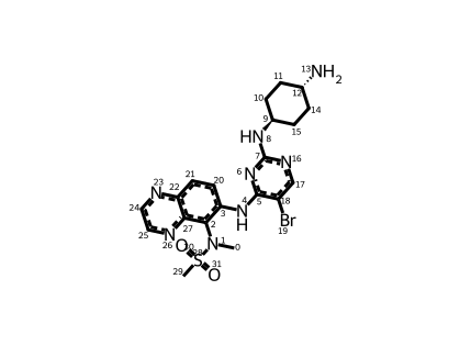 CN(c1c(Nc2nc(N[C@H]3CC[C@H](N)CC3)ncc2Br)ccc2nccnc12)S(C)(=O)=O